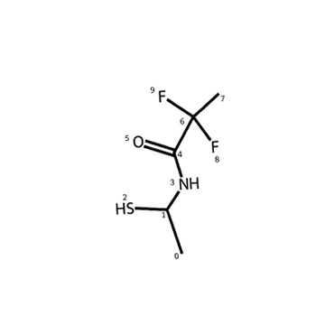 CC(S)NC(=O)C(C)(F)F